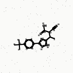 CC(c1nc(-c2ccc(C(C)(C)C)cc2)n[nH]1)C(C#N)C(=O)O